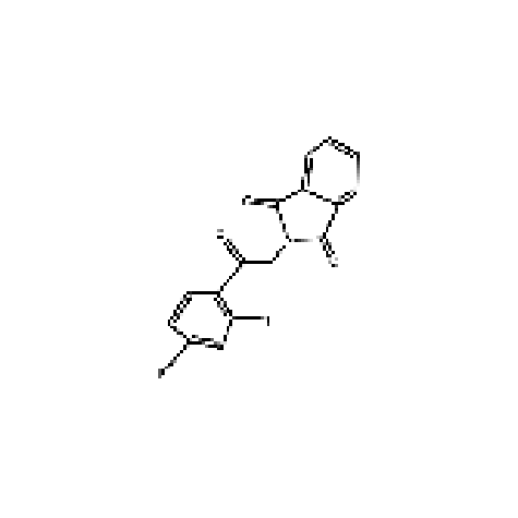 O=C(CN1C(=O)c2ccccc2C1=O)c1ccc(F)cc1F